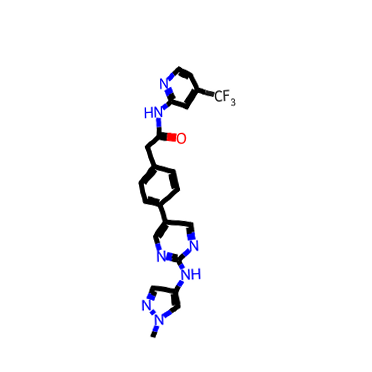 Cn1cc(Nc2ncc(-c3ccc(CC(=O)Nc4cc(C(F)(F)F)ccn4)cc3)cn2)cn1